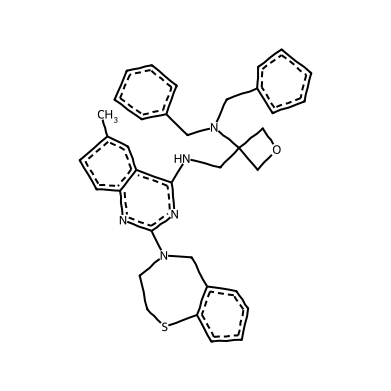 Cc1ccc2nc(N3CCSc4ccccc4C3)nc(NCC3(N(Cc4ccccc4)Cc4ccccc4)COC3)c2c1